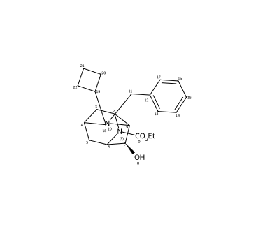 CCOC(=O)N1C2CC3CC1[C@H](O)C2N(Cc1ccccc1)C3C1CCC1